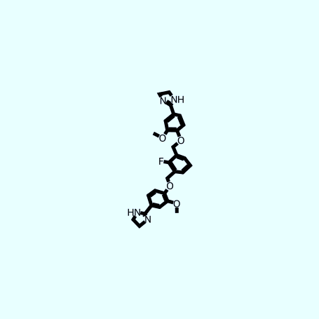 COc1cc(C2=NCCN2)ccc1OCc1cccc(COc2ccc(C3=NCCN3)cc2OC)c1F